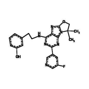 CC1(C)COc2nc3c(NCCc4cccc(O)c4)nc(-c4cncc(F)c4)nc3n21